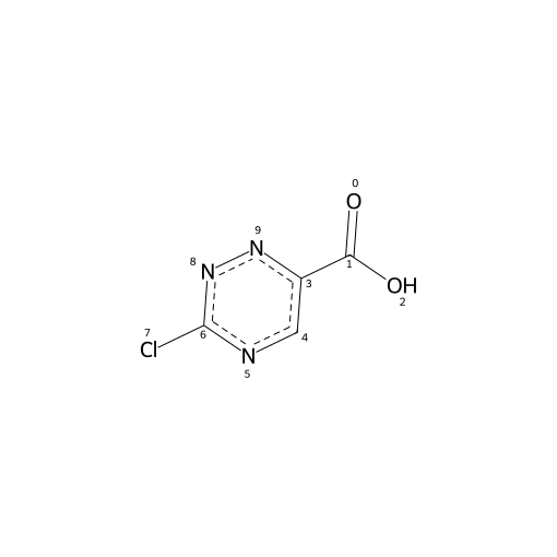 O=C(O)c1cnc(Cl)nn1